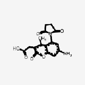 Cc1c(CC(=O)O)c(=O)oc2cc(N)cc(N3C(=O)CCC3=O)c12